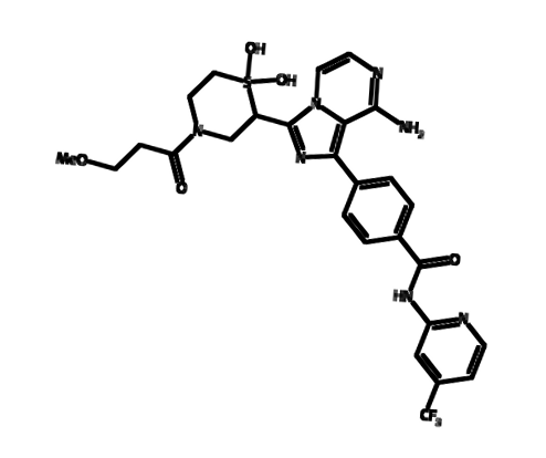 COCCC(=O)N1CCS(O)(O)C(c2nc(-c3ccc(C(=O)Nc4cc(C(F)(F)F)ccn4)cc3)c3c(N)nccn23)C1